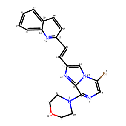 Brc1cnc(N2CCOCC2)c2nc(C=Cc3ccc4ccccc4n3)cn12